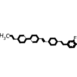 CCC[C@H]1CC[C@H]([C@H]2CC[C@H](C=C[C@H]3CC[C@H](CCc4ccc(F)c(F)c4)CC3)CC2)CC1